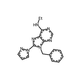 CCNc1ncnc2c1nc(-n1cccn1)n2Cc1ccccc1